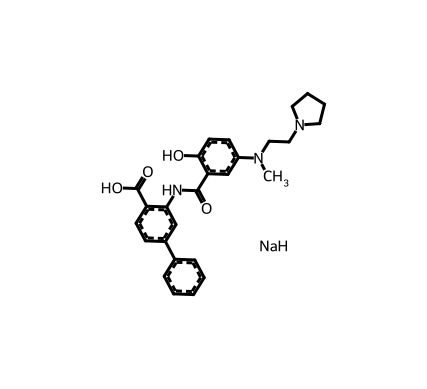 CN(CCN1CCCC1)c1ccc(O)c(C(=O)Nc2cc(-c3ccccc3)ccc2C(=O)O)c1.[NaH]